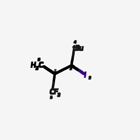 CC(C(I)C(C)(C)C)C(F)(F)F